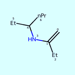 C=C(CC)NC(CC)CCC